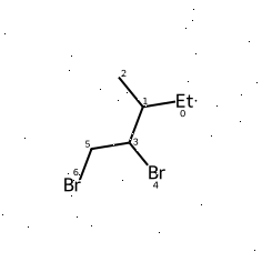 C[CH]C(C)C(Br)CBr